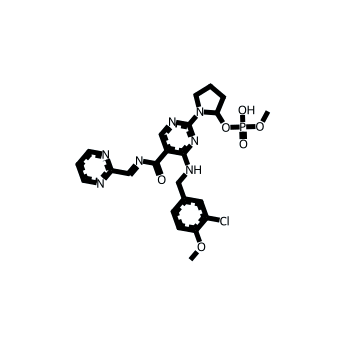 COc1ccc(CNc2nc(N3CCCC3OP(=O)(O)OC)ncc2C(=O)N=Cc2ncccn2)cc1Cl